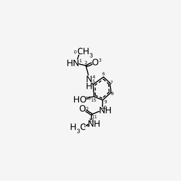 CNC(=O)Nc1cccc(NC(=O)NC)c1O